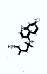 CC(CN)CC(C)(C)Nc1ccnc2cc(Cl)ccc12